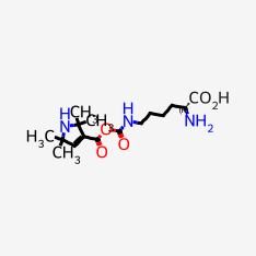 CC1(C)C=C(C(=O)OC(=O)NCCCC[C@@H](N)C(=O)O)C(C)(C)N1